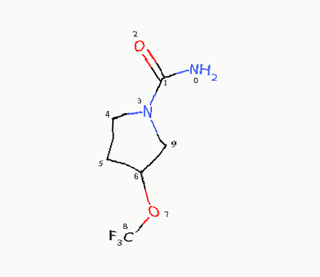 NC(=O)N1CCC(OC(F)(F)F)C1